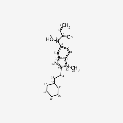 C=CC(=O)N(O)c1ccc2c(c1)nc(CCC1CCCCC1)n2C